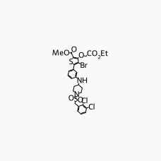 CCOC(=O)COc1c(C(=O)OC)sc(-c2cccc(NC3CCN(S(=O)(=O)Cc4cccc(Cl)c4Cl)CC3)c2)c1Br